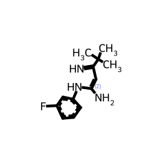 CC(C)(C)C(=N)/C=C(/N)Nc1cccc(F)c1